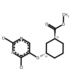 COC(=O)[C@H]1CCC[C@H](Oc2cnc(Cl)nc2Cl)C1